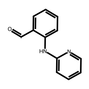 O=[C]c1ccccc1Nc1ccccn1